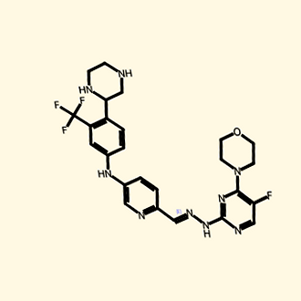 Fc1cnc(N/N=C/c2ccc(Nc3ccc(C4CNCCN4)c(C(F)(F)F)c3)cn2)nc1N1CCOCC1